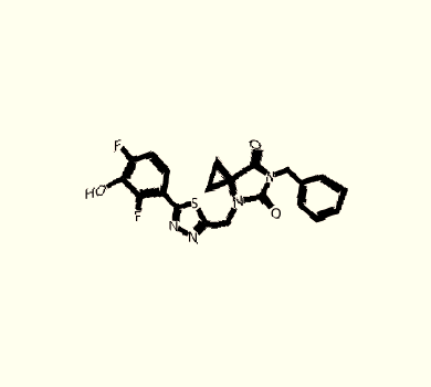 O=C1N(Cc2ccccc2)C(=O)C2(CC2)N1Cc1nnc(-c2ccc(F)c(O)c2F)s1